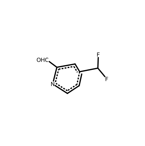 O=Cc1cc(C(F)F)ccn1